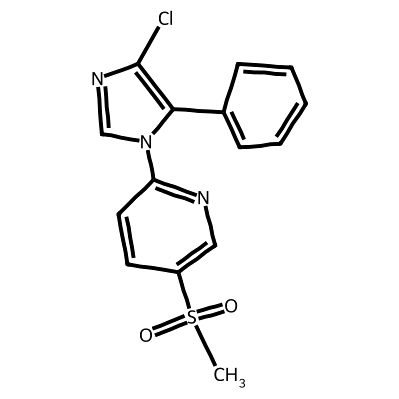 CS(=O)(=O)c1ccc(-n2cnc(Cl)c2-c2ccccc2)nc1